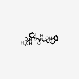 CC(=O)Nc1cccnc1OCC(=O)NCC(O)CN1CCc2ccccc2C1